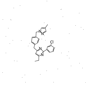 CCc1cc(Cc2ccc(Cn3cc(C)cn3)cc2)nc(-c2cccc(Cl)c2)n1